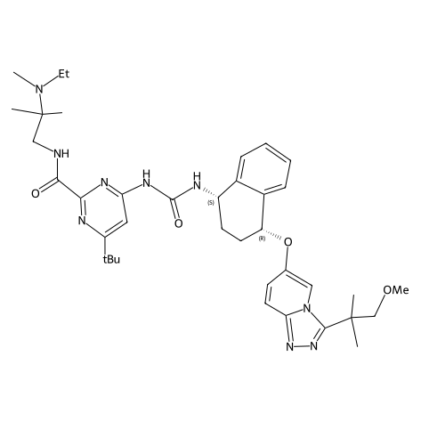 CCN(C)C(C)(C)CNC(=O)c1nc(NC(=O)N[C@H]2CC[C@@H](Oc3ccc4nnc(C(C)(C)COC)n4c3)c3ccccc32)cc(C(C)(C)C)n1